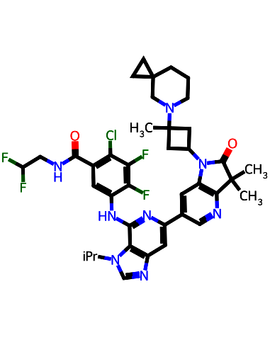 CC(C)n1cnc2cc(-c3cnc4c(c3)N(C3CC(C)(N5CCCC6(CC6)C5)C3)C(=O)C4(C)C)nc(Nc3cc(C(=O)NCC(F)F)c(Cl)c(F)c3F)c21